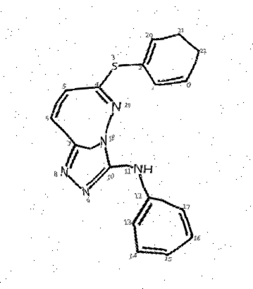 C1=CC(Sc2ccc3nnc(Nc4ccccc4)n3n2)=CCC1